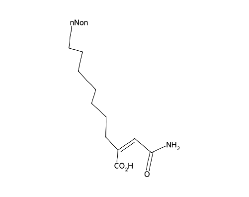 CCCCCCCCCCCCCCCC/C(=C/C(N)=O)C(=O)O